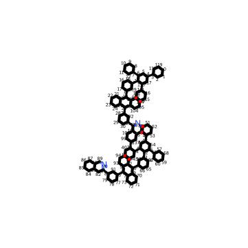 c1ccc(-c2cc(-c3ccccc3)c(-c3cccc(-c4c5ccccc5c(-c5cccc(-c6nccc7cc(-c8ccccc8-c8cc(-c9ccccc9)cc(-c9ccccc9)c8-c8cccc(-c9c%10ccccc%10c(-c%10cccc(-c%11cc%12ccccc%12cn%11)c%10)c%10ccccc9%10)c8)ccc67)c5)c5ccccc45)c3)c(-c3ccccc3)c2)cc1